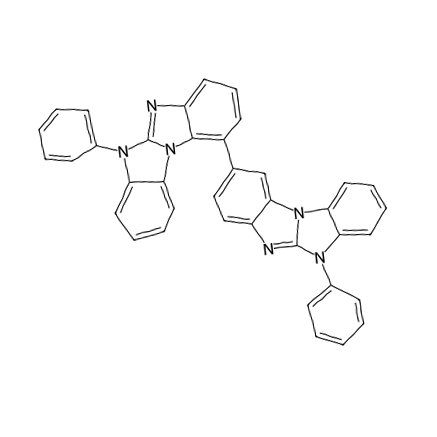 c1ccc(-n2c3ccccc3n3c4cc(-c5cccc6nc7n(-c8ccccc8)c8ccccc8n7c56)ccc4nc23)cc1